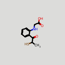 CC(S)C(=O)c1ccccc1NCC(=O)O